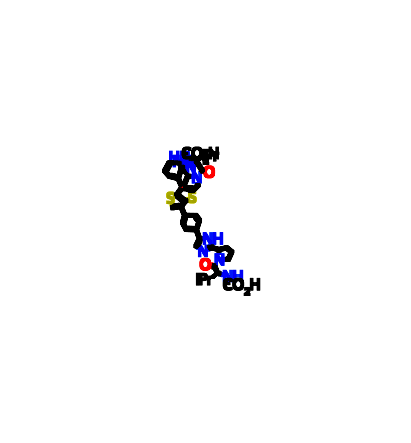 CC(C)[C@H](NC(=O)O)C(=O)N1CCCC1c1ncc(-c2ccc(-c3csc4c(C5=CC=CC6NC=NC56[C@@H]5CCCN5C(=O)[C@@H](NC(=O)O)C(C)C)csc34)cc2)[nH]1